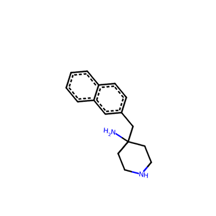 NC1(Cc2ccc3ccccc3c2)CCNCC1